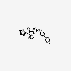 CN1CCN(c2ccc(Nc3ncc4c(n3)N3CCN=C3N(c3cccs3)C4=O)cc2)CC1